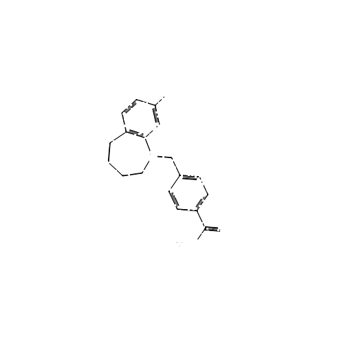 COC(=O)c1ccc(CN2CCCCc3ccc(Cl)cc32)cc1